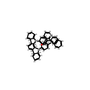 c1ccc(-c2ccc(-n3c4ccccc4c4ccc5c6ccccc6n(-c6ccc7c(c6)c6cccnc6n7-c6ccccc6)c5c43)cc2)cc1